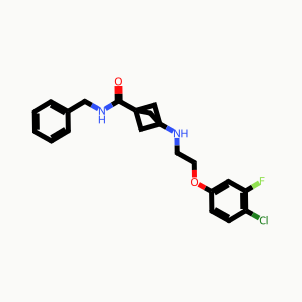 O=C(NCc1ccccc1)C12CC(NCCOc3ccc(Cl)c(F)c3)(C1)C2